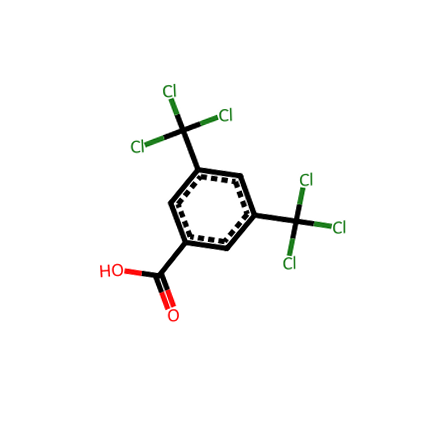 O=C(O)c1cc(C(Cl)(Cl)Cl)cc(C(Cl)(Cl)Cl)c1